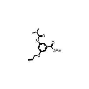 C=CCOc1cc(OC(=O)N(C)C)cc(C(=O)OC)c1